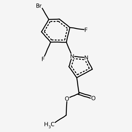 CCOC(=O)c1cnn(-c2c(F)cc(Br)cc2F)c1